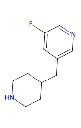 Fc1cncc(CC2CCNCC2)c1